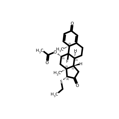 CCS[C@H]1C(=O)C[C@H]2[C@@H]3CCC4=CC(=O)C=C[C@]4(C)C3(F)[C@@H](OC(C)=O)C[C@]12C